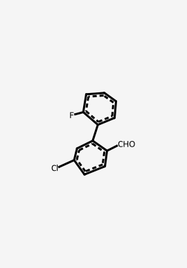 O=Cc1ccc(Cl)cc1-c1ccccc1F